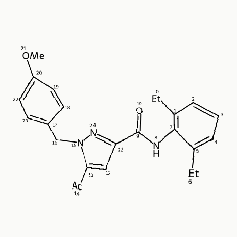 CCc1cccc(CC)c1NC(=O)c1cc(C(C)=O)n(Cc2ccc(OC)cc2)n1